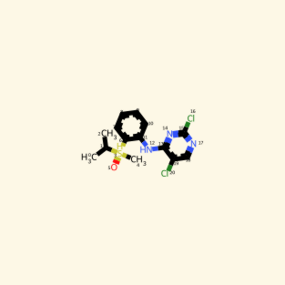 CC(C)[SH](C)(=O)c1ccccc1Nc1nc(Cl)ncc1Cl